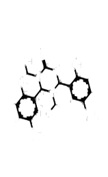 CCN1C(=S)SC(c2cc(C)ccc2C)N(CC)C1c1cc(C)ccc1C